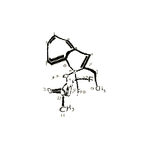 CCC1=Cc2ccccc2S1(OS(C)(=O)=O)C(F)(F)F